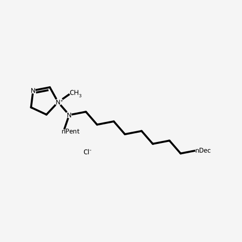 CCCCCCCCCCCCCCCCCCN(CCCCC)[N+]1(C)C=NCC1.[Cl-]